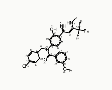 CN/C(=C\C(=N)c1ccc(N(CC2C=CC(Cl)=CC2)C(=O)c2cccc(OC)c2)cc1O)C(F)(F)F